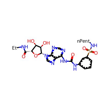 CCCCCNS(=O)(=O)c1cccc(NC(=O)Nc2ncnc3c2ncn3[C@@H]2O[C@H](C(=O)NCC)[C@@H](O)[C@H]2O)c1